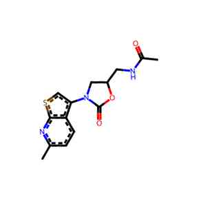 CC(=O)NCC1CN(c2csc3nc(C)ccc23)C(=O)O1